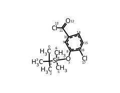 CC(C)(C)[Si](C)(C)Oc1cc(C(=O)Cl)ccc1Cl